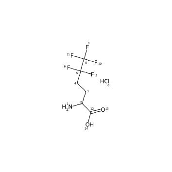 Cl.NC(CCC(F)(F)C(F)(F)F)C(=O)O